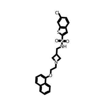 O=S(=O)(NCC1CN(CCOc2cccc3ccccc23)C1)c1cc2ccc(Cl)cc2s1